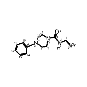 CC(C)CNC(=O)N1CCN(c2ccccc2)CC1